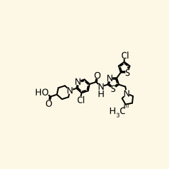 C[C@H]1CCN(Cc2sc(NC(=O)c3cnc(N4CCC(C(=O)O)CC4)c(Cl)c3)nc2-c2cc(Cl)cs2)C1